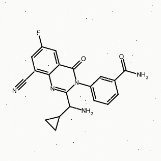 N#Cc1cc(F)cc2c(=O)n(-c3cccc(C(N)=O)c3)c(C(N)C3CC3)nc12